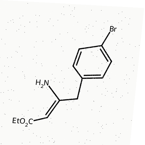 CCOC(=O)C=C(N)Cc1ccc(Br)cc1